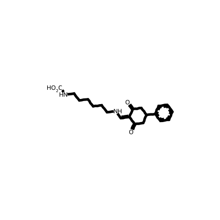 O=C(O)NCCCCCCNC=C1C(=O)CC(c2ccccc2)CC1=O